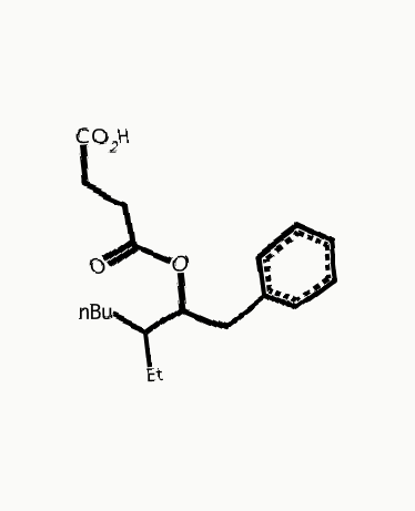 CCCCC(CC)C(Cc1ccccc1)OC(=O)CCC(=O)O